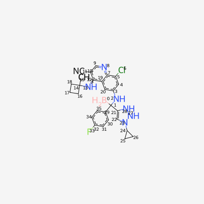 BC(Nc1cc(Cl)c2ncc(C#N)c(NC3(C)CCC3)c2c1)(C1=CN(C2CC2)NN1)c1ccc(F)cc1